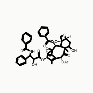 CC(=O)O[C@H]1C(=O)C2(C)C(O)C[C@H]3OC[C@@]3(OC(C)=O)C2[C@H](OC(=O)c2ccccc2)C2(O)C[C@H](OC(=O)C(O)C(NC(=O)c3ccccc3)c3ccccc3)C(C)=C1C2(C)C